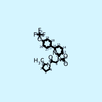 C[C@H]1CCCN1C(=O)Cn1c(=O)oc2ccc(-c3ccc(OC(F)(F)F)cc3)nc21